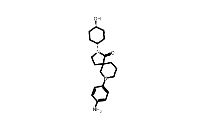 Nc1ccc(N2CCCC3(CCN([C@H]4CC[C@H](O)CC4)C3=O)C2)cc1